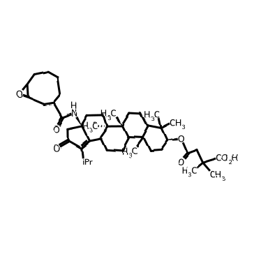 CC(C)C1=C2C3CCC4C5(C)CC[C@H](OC(=O)CC(C)(C)C(=O)O)C(C)(C)C5CC[C@@]4(C)[C@]3(C)CC[C@@]2(NC(=O)C2CCCCC3OC3C2)CC1=O